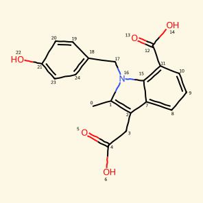 Cc1c(CC(=O)O)c2cccc(C(=O)O)c2n1Cc1ccc(O)cc1